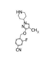 Cc1cn(C2CCNCC2)nc1OCc1ccc(C#N)cc1F